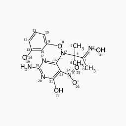 CC(=NO)C(C)(C)N(Oc1cccc(Cl)c1)c1nc(N)nc(O)c1[N+](=O)[O-]